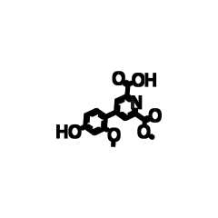 COC(=O)c1cc(-c2ccc(O)cc2OC)cc(C(=O)O)n1